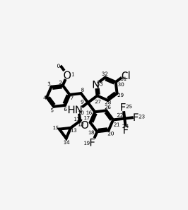 COc1ccccc1CC(NC(=O)C1CC1)(c1cc(F)cc(C(F)(F)F)c1)c1ccc(Cl)cn1